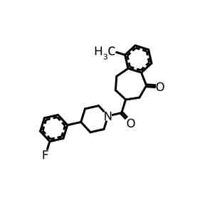 Cc1cccc2c1CCC(C(=O)N1CCC(c3cccc(F)c3)CC1)CC2=O